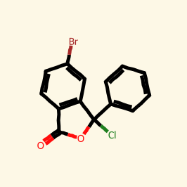 O=C1OC(Cl)(c2ccccc2)c2cc(Br)ccc21